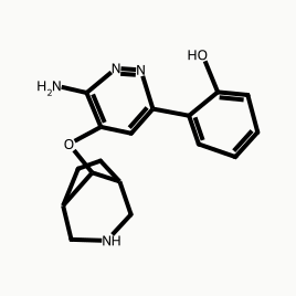 Nc1nnc(-c2ccccc2O)cc1OC1C2CCC1CNC2